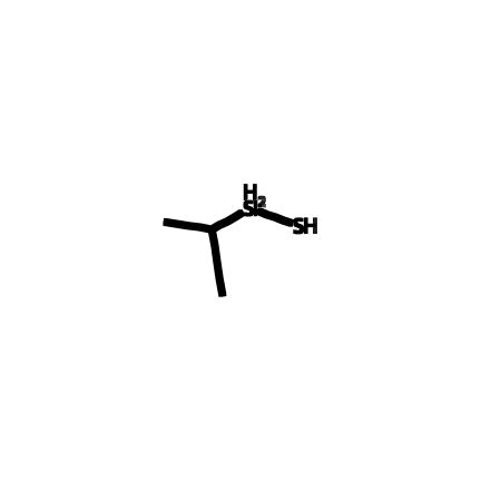 CC(C)[SiH2]S